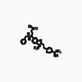 CCN(CC)CCN(c1ccc2c(c1)nc(CCc1ccc(C(=N)N)cc1)n2C)S(=O)(=O)Cc1ccccc1